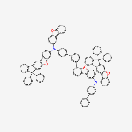 c1ccc(-c2ccc(N(c3ccc4oc5c(-c6cccc(-c7ccc(N(c8ccc9c(c8)oc8cc%10c(cc89)-c8ccccc8C%10(c8ccccc8)c8ccccc8)c8ccc9oc%10ccccc%10c9c8)cc7)c6)cccc5c4c3)c3cccc4oc5cc6c(cc5c34)-c3ccccc3C6(c3ccccc3)c3ccccc3)cc2)cc1